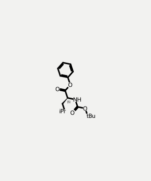 CC(C)C[C@H](NC(=O)OC(C)(C)C)C(=O)Oc1ccccc1